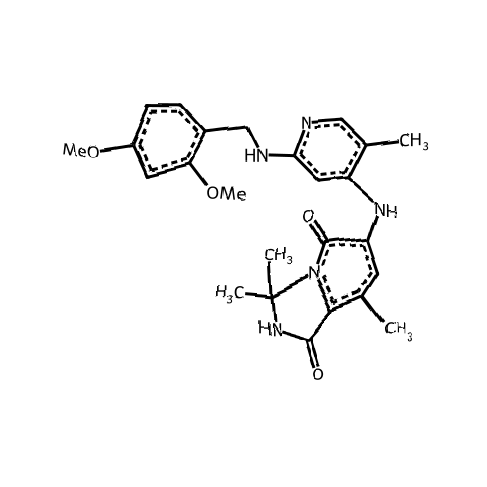 COc1ccc(CNc2cc(Nc3cc(C)c4n(c3=O)C(C)(C)NC4=O)c(C)cn2)c(OC)c1